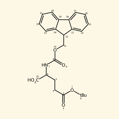 CC(C)(C)OC(=O)CCC(NC(=O)OCC1c2ccccc2-c2ccccc21)C(=O)O